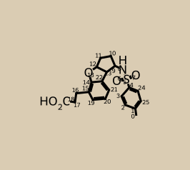 Cc1ccc(S(=O)(=O)NC2CCC3Oc4c(CCC(=O)O)cccc4C23)cc1